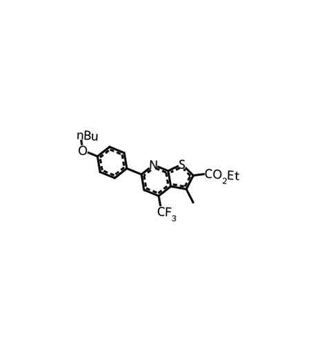 CCCCOc1ccc(-c2cc(C(F)(F)F)c3c(C)c(C(=O)OCC)sc3n2)cc1